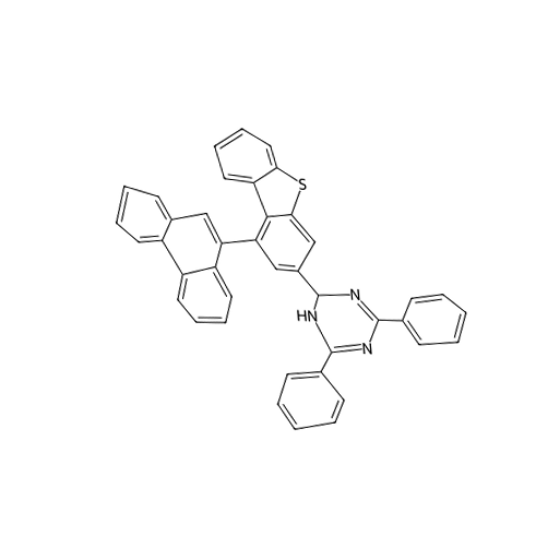 c1ccc(C2=NC(c3cc(-c4cc5ccccc5c5ccccc45)c4c(c3)sc3ccccc34)NC(c3ccccc3)=N2)cc1